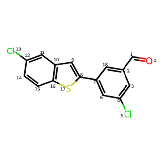 O=Cc1cc(Cl)cc(-c2cc3cc(Cl)ccc3s2)c1